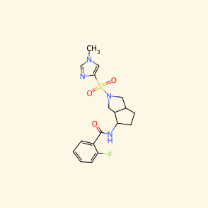 Cn1cnc(S(=O)(=O)N2CC3CCC(NC(=O)c4ccccc4F)C3C2)c1